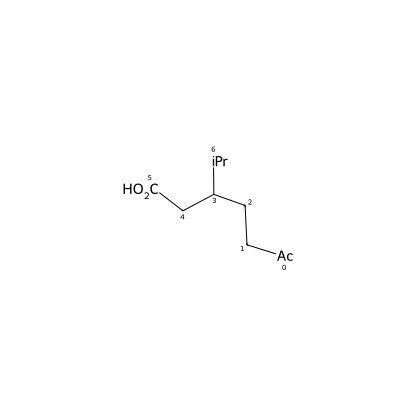 CC(=O)CCC(CC(=O)O)C(C)C